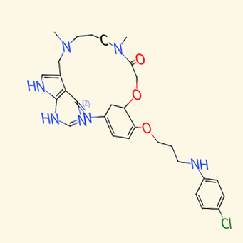 CN1CCCN(C)C(=O)COC2CC(=CC=C2OCCCNc2ccc(Cl)cc2)/N=C2\N=CNc3[nH]cc(c32)C1